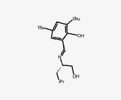 CC(C)C[C@@H](CO)/N=C/c1cc(C(C)(C)C)cc(C(C)(C)C)c1O